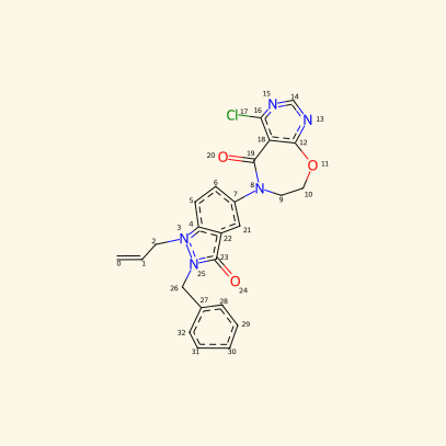 C=CCn1c2ccc(N3CCOc4ncnc(Cl)c4C3=O)cc2c(=O)n1Cc1ccccc1